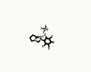 F[B-](F)(F)F.Fc1c(F)c(F)c(N2CN3CCCC3=[NH+]2)c(F)c1F